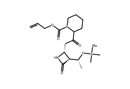 C=CCOC(=O)N1CCCCC1C(=O)C[C@H]1NC(=O)[C@@H]1[C@@H](C)O[Si](C)(C)C(C)(C)C